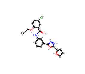 CCOc1ccc(Cl)cc1C(=O)Nc1cccc(-c2nnc(-c3ccco3)o2)c1